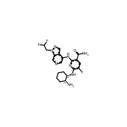 NC(=O)c1cc(F)c(N[C@@H]2CCCC[C@@H]2N)nc1Nc1cncc2c1cnn2CC(F)F